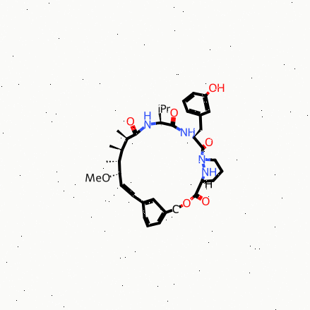 CO[C@H]1/C=C/c2cccc(c2)COC(=O)[C@@H]2CCCN(N2)C(=O)[C@H](Cc2cccc(O)c2)NC(=O)[C@H](C(C)C)NC(=O)[C@H](C)[C@H](C)[C@H]1C